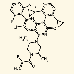 C=C(F)C(=O)N1C[C@H](C)N(c2nc(=O)n(-c3c(C4CC4)ncnc3C3CC3)c3nc(-c4c(N)cccc4F)c(Cl)cc23)C[C@H]1C